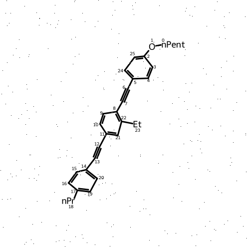 CCCCCOc1ccc(C#Cc2ccc(C#Cc3ccc(CCC)cc3)cc2CC)cc1